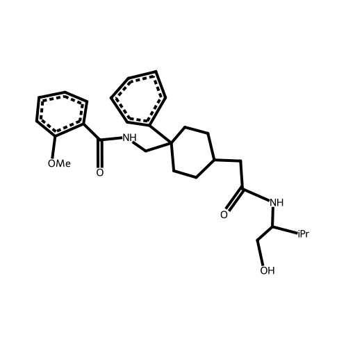 COc1ccccc1C(=O)NCC1(c2ccccc2)CCC(CC(=O)NC(CO)C(C)C)CC1